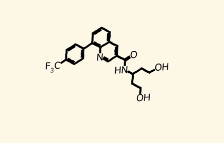 O=C(NC(CCO)CCO)c1cnc2c(-c3ccc(C(F)(F)F)cc3)cccc2c1